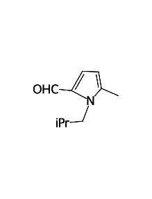 Cc1ccc(C=O)n1CC(C)C